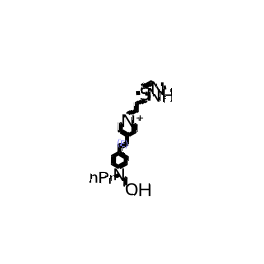 CCCN(CCO)c1ccc(/C=C/c2cc[n+](CCCCS3(C)C=CN(C)N3)cc2)cc1